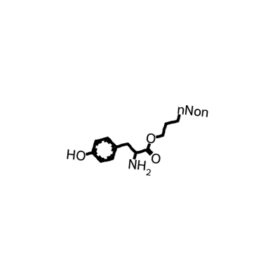 CCCCCCCCCCCCOC(=O)C(N)Cc1ccc(O)cc1